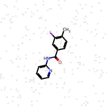 Cc1ccc(C(=O)Nc2ccccn2)cc1I